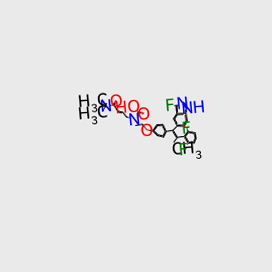 CCC(=C(c1ccc(OCCN(CC=CC(=O)N(C)C)C(=O)O)cc1)c1ccc2[nH]nc(F)c2c1)c1c(F)cccc1F